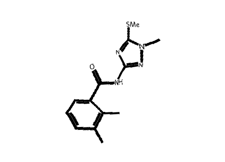 CSc1nc(NC(=O)c2cccc(C)c2C)nn1C